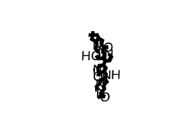 CC(=O)N1CCn2cc(Nc3cc(-c4ccnc(N5CCn6c(cc7c6CC(C)(C)C7)C5=O)c4CO)cn(C)c3=O)cc2C1